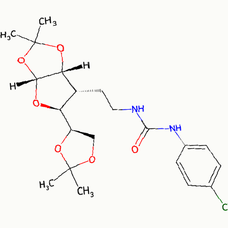 CC1(C)O[C@H]2O[C@H]([C@H]3COC(C)(C)O3)[C@@H](CCNC(=O)Nc3ccc(Cl)cc3)[C@H]2O1